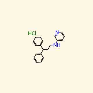 Cl.c1ccc(C(CCNc2cccnc2)c2ccccc2)cc1